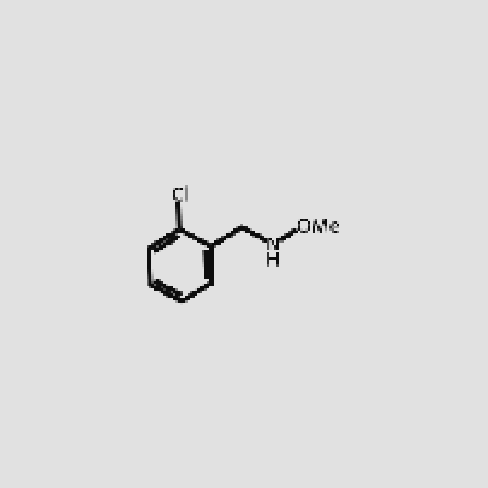 CONCc1ccccc1Cl